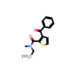 CCOC(=O)CN(C)C(=O)c1sccc1C(=O)c1ccccc1